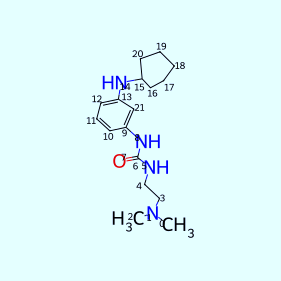 CN(C)CCNC(=O)Nc1cccc(NC2CCCCC2)c1